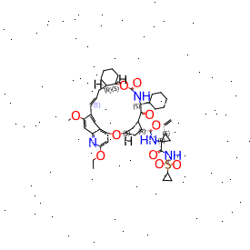 C=C[C@@H]1C[C@]1(NC(=O)[C@@H]1C[C@@H]2CC1C(=O)[C@H](C1CCCCC1)NC(=O)O[C@H]1CCCC[C@@H]1C/C=C/c1cc3c(cc(OCC)nc3cc1OC)O2)C(=O)NS(=O)(=O)C1CC1